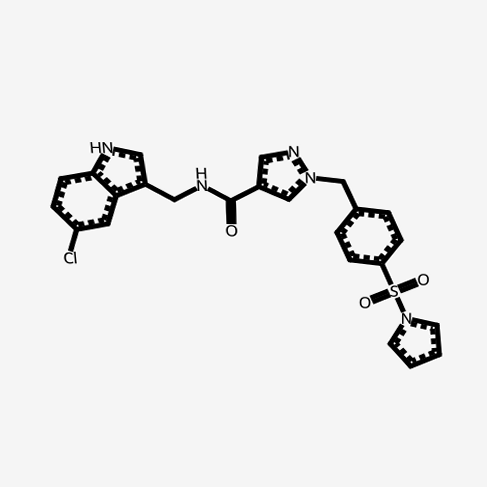 O=C(NCc1c[nH]c2ccc(Cl)cc12)c1cnn(Cc2ccc(S(=O)(=O)n3cccc3)cc2)c1